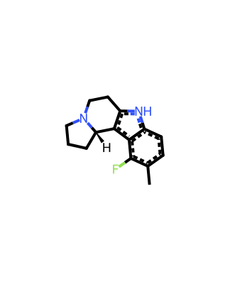 Cc1ccc2[nH]c3c(c2c1F)[C@@H]1CCCN1CC3